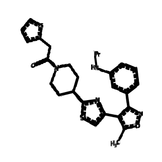 Cc1onc(-c2cccc(NC(C)C)c2)c1-c1csc(C2CCN(C(=O)Cc3cccs3)CC2)n1